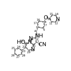 N#Cc1c(NCc2ccc(Oc3ccncc3)cc2)nn2c(O)c(-c3ccccc3)cnc12